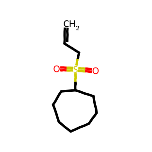 C=CCS(=O)(=O)C1CCCCCCC1